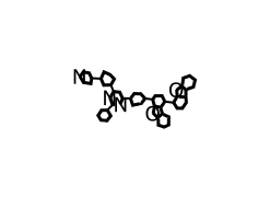 c1ccc(-c2nc(-c3ccc(-c4ccc(-c5cccc6c5oc5ccccc56)c5c4oc4ccccc45)cc3)cc(-c3cccc(-c4ccncc4)c3)n2)cc1